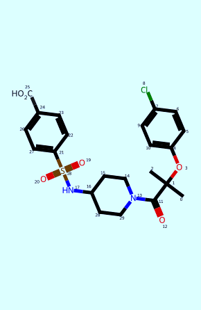 CC(C)(Oc1ccc(Cl)cc1)C(=O)N1CCC(NS(=O)(=O)c2ccc(C(=O)O)cc2)CC1